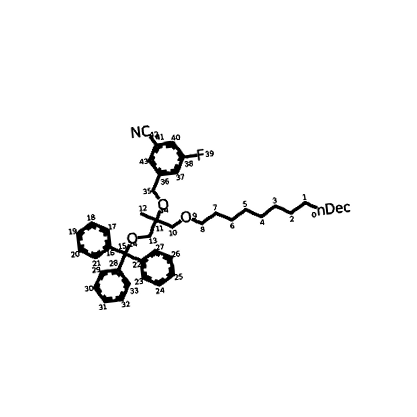 CCCCCCCCCCCCCCCCCCOCC(C)(COC(c1ccccc1)(c1ccccc1)c1ccccc1)OCc1cc(F)cc(C#N)c1